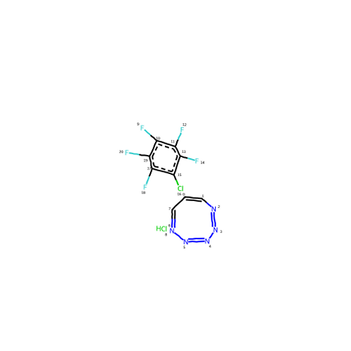 C1=CN=NN=NN=C1.Cl.Fc1c(F)c(F)c(Cl)c(F)c1F